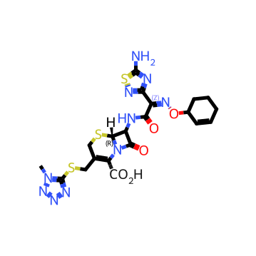 Cn1nnnc1SCC1=C(C(=O)O)N2C(=O)C(NC(=O)/C(=N\OC3C=CCCC3)c3nsc(N)n3)[C@H]2SC1